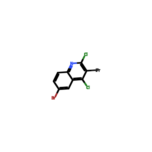 CC(C)c1c(Cl)nc2ccc(Br)cc2c1Cl